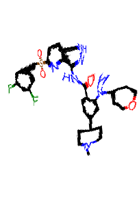 CN1CCC(c2ccc(C(=O)Nc3n[nH]c4ccc(S(=O)(=O)Cc5cc(F)cc(F)c5)nc34)c(NC3CCOCC3)c2)CC1